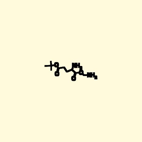 CC(C)(C)OC(=O)CCC(N)C(=O)OCN